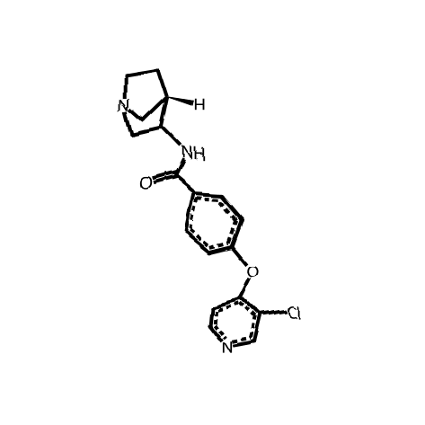 O=C(NC1CN2CC[C@H]1C2)c1ccc(Oc2ccncc2Cl)cc1